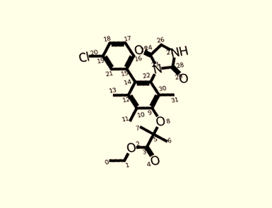 CCOC(=O)C(C)(C)Oc1c(C)c(C)c(-c2cccc(Cl)c2)c(N2C(=O)CNC2=O)c1C